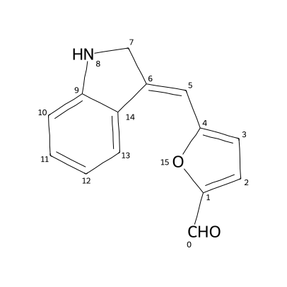 O=Cc1ccc(/C=C2/CNc3ccccc32)o1